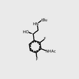 CC(=O)Nc1c(F)ccc([C@@H](O)CNC(C)(C)C)c1F